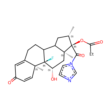 CCC(=O)O[C@]1(C(=O)n2ccnc2)[C@@H](C)CC2C3CCC4=CC(=O)C=C[C@]4(C)[C@@]3(F)[C@@H](O)C[C@@]21C